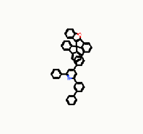 c1ccc(-c2cccc(-c3cc(-c4ccc(-c5cccc6c5C5(c7ccccc7-c7ccccc75)c5c-6oc6ccccc56)cc4)cc(-c4ccccc4)n3)c2)cc1